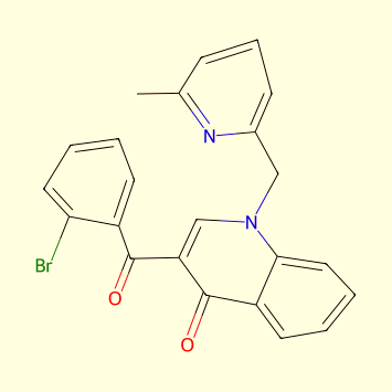 Cc1cccc(Cn2cc(C(=O)c3ccccc3Br)c(=O)c3ccccc32)n1